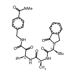 CNC(=O)c1ccc(CNC(=O)C(=O)[C@@H](NC(=O)[C@H](C)NC(=O)[C@@H](N2Cc3ccccc3C2=O)C(C)(C)C)C(C)C)cc1